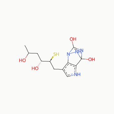 CC(O)C[C@@H](O)[C@@H](S)Cc1c[nH]c2c1N1NC2(O)N=C1O